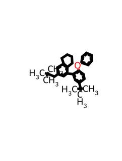 CC(C)(C)Cc1cc2c(c(-c3cc(C(C)(C)C)ccc3Oc3ccccc3)c1)CCCC2